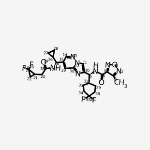 Cc1nonc1C(=O)N[C@H](c1cn2ncc([C@H](NC(=O)CC3CC3(F)F)C3CC3)cc2n1)C1CCC(F)(F)CC1